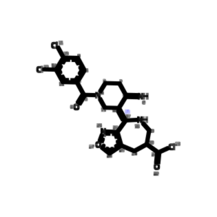 N=C1CCN(C(=O)c2ccc(Cl)c(Cl)c2)C/C1=C1/NCC(C(=O)Cl)Cc2conc21